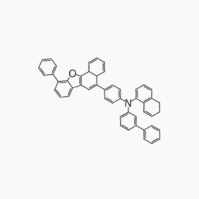 C1=CC2C(c3ccc(N(c4cccc(-c5ccccc5)c4)c4cccc5c4C=CCC5)cc3)=Cc3c(oc4c(-c5ccccc5)cccc34)C2C=C1